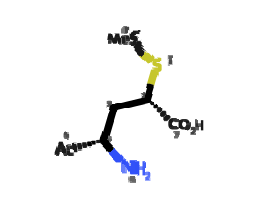 CSS[C@@H](C[C@H](N)C(C)=O)C(=O)O